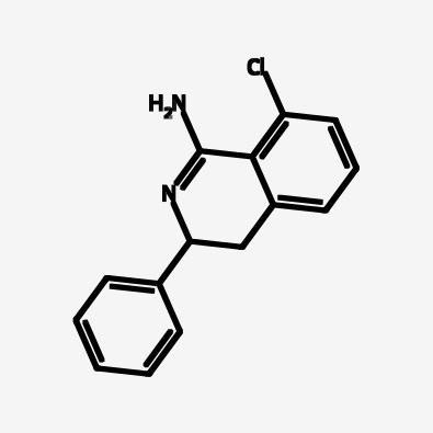 NC1=NC(c2ccccc2)Cc2cccc(Cl)c21